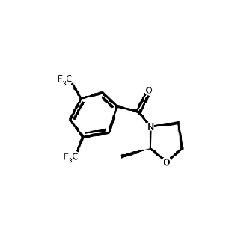 C[C@@H]1OCCN1C(=O)c1cc(C(F)(F)F)cc(C(F)(F)F)c1